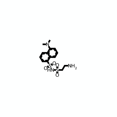 CN(C)c1cccc2c(S(=O)(=O)NS(=O)(=O)CCN)cccc12